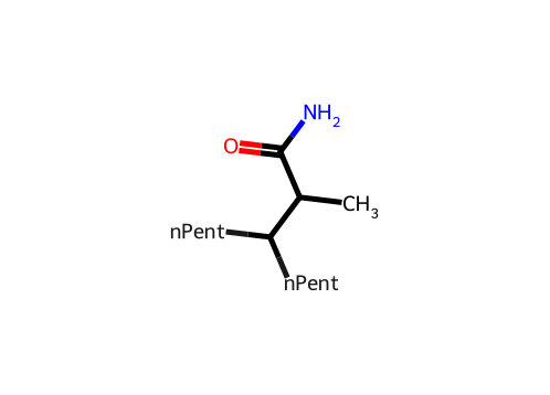 CCCCCC(CCCCC)C(C)C(N)=O